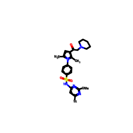 CCc1cc(NS(=O)(=O)c2ccc(-n3c(C)cc(C(=O)CN4CCCCC4)c3C)cc2)nc(OC)n1